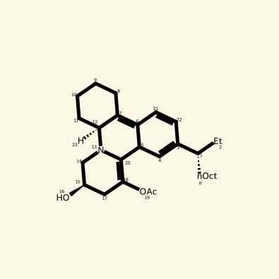 CCCCCCCC[C@@H](CC)C1=CC2C(=C3CCCC[C@@H]3N3C[C@H](O)CC(OC(C)=O)=C23)C=C1